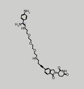 N/C(=C\NCCOCCOCCOCCNCCC#Cc1ccc2c(c1)CN(C1CCC(=O)NC1=O)C2=O)c1ccc(N)cc1